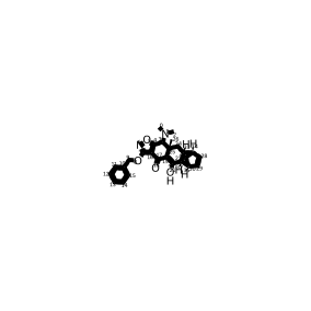 CN(C)C1c2onc(OCc3ccccc3)c2C(=O)C2=C(O)[C@H]3[C@@H](C[C@]21C)[C@H]1C=C[C@@H]3C1